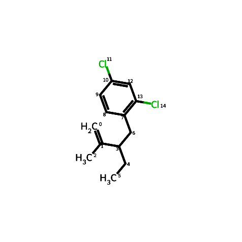 C=C(C)C(CC)Cc1ccc(Cl)cc1Cl